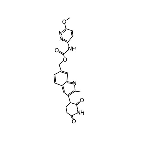 COc1ccc(NC(=O)OCc2ccc3cc(C4CCC(=O)NC4=O)c(C)nc3c2)nn1